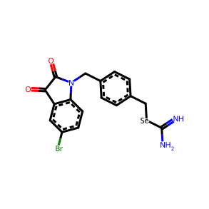 N=C(N)[Se]Cc1ccc(CN2C(=O)C(=O)c3cc(Br)ccc32)cc1